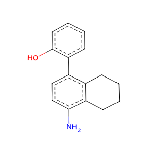 Nc1ccc(-c2ccccc2O)c2c1CCCC2